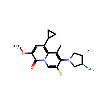 Cc1c(N2C[C@H](C)[C@@H](N)C2)c(F)cn2c(=O)c(OC(=O)O)cc(C3CC3)c12